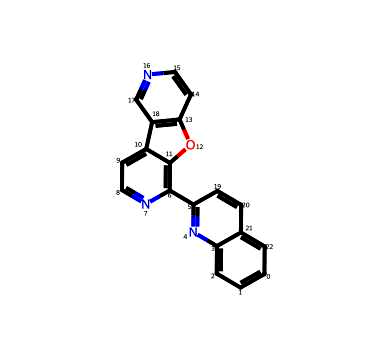 c1ccc2nc(-c3nccc4c3oc3ccncc34)ccc2c1